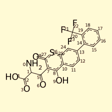 NC(C(=O)O)C(=O)c1c(O)c2ccc(-c3ccccc3C(F)(F)F)cc2sc1=O